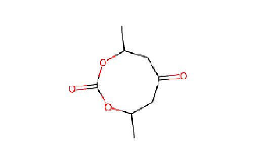 CC1CC(=O)CC(C)OC(=O)O1